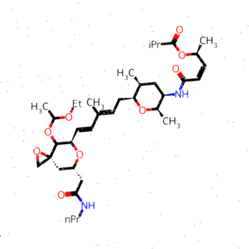 CCCNC(=O)C[C@@H]1C[C@@]2(CO2)C(OC(C)OCC)[C@@H](/C=C/C(C)=C/C[C@@H]2O[C@H](C)[C@H](NC(=O)/C=C\[C@H](C)OC(=O)C(C)C)C[C@@H]2C)O1